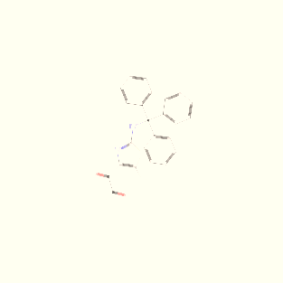 O=C(O)C(=O)c1nc(NC(c2ccccc2)(c2ccccc2)c2ccccc2)sc1Cl